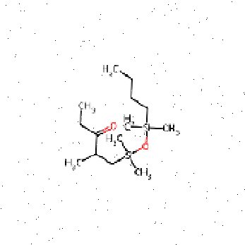 CCCC[Si](C)(C)O[Si](C)(C)CC(C)C(=O)CC